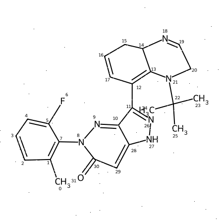 Cc1cccc(F)c1-n1nc2c(C3=C4C(CC=C3)N=CCN4C(C)(C)C)n[nH]c2cc1=O